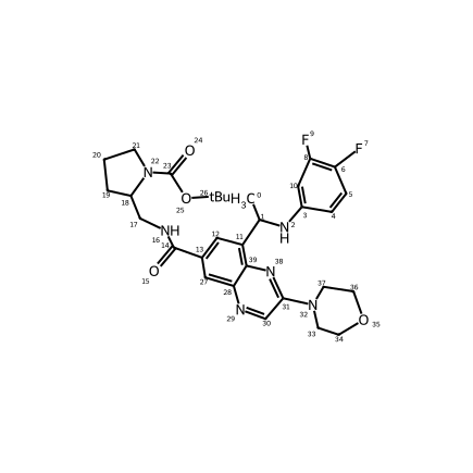 CC(Nc1ccc(F)c(F)c1)c1cc(C(=O)NCC2CCCN2C(=O)OC(C)(C)C)cc2ncc(N3CCOCC3)nc12